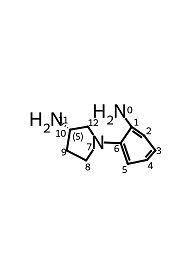 Nc1ccccc1N1CC[C@H](N)C1